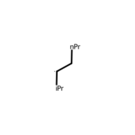 CCCC[CH]C(C)C